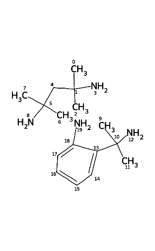 CC(C)(N)CC(C)(C)N.CC(C)(N)c1ccccc1N